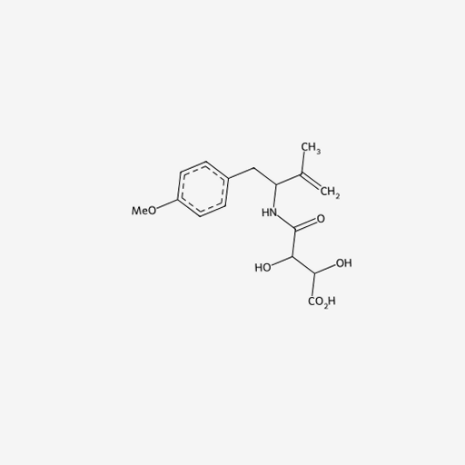 C=C(C)C(Cc1ccc(OC)cc1)NC(=O)C(O)C(O)C(=O)O